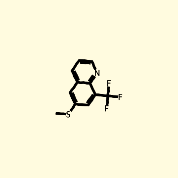 CSc1cc(C(F)(F)F)c2ncccc2c1